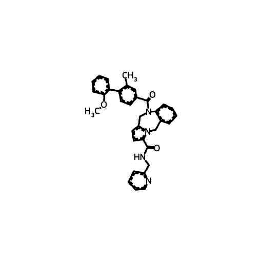 COc1ccccc1-c1ccc(C(=O)N2Cc3ccc(C(=O)NCc4ccccn4)n3Cc3ccccc32)cc1C